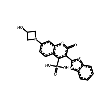 O=c1oc2cc(N3CC(O)C3)ccc2c(P(=O)(O)O)c1-c1nc2ccccc2s1